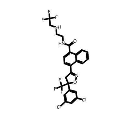 O=C(NCCNCC(F)(F)F)c1ccc(C2=NOC(c3cc(Cl)cc(Cl)c3)(C(F)(F)F)C2)c2ccccc12